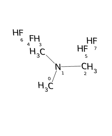 CN(C)C.F.F.F.F